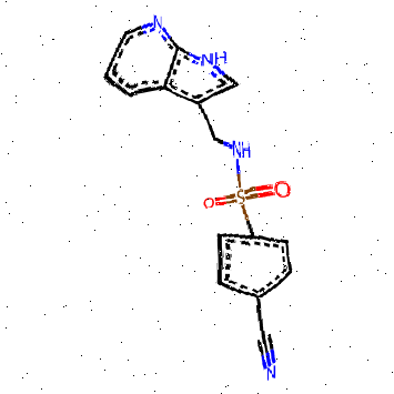 N#Cc1ccc(S(=O)(=O)NCc2c[nH]c3ncccc23)cc1